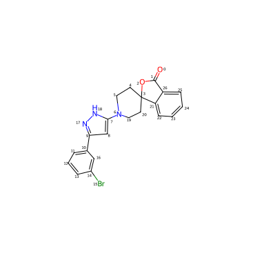 O=C1OC2(CCN(c3cc(-c4cccc(Br)c4)n[nH]3)CC2)c2ccccc21